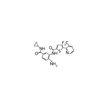 NCc1ccc(C(=O)NC2CC2)cc1NC(=O)c1ccc(-c2ncccc2C(F)(F)F)s1